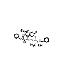 C[C@H](O)C(OCc1ccccc1)[C@H](CCC[C@H](NC(=O)OC(C)(C)C)C(=O)OCc1ccccc1)Cc1ccc(F)cc1F